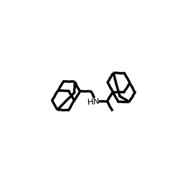 CC(NCC1C2CC3CC(C2)CC1C3)C12CC3CC(CC(C3)C1)C2